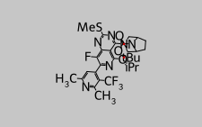 CSc1nc(N2CC3CCC(C2)N3C(=O)OC(C)(C)C)c2c(OC(C)C)nc(-c3cc(C)nc(C)c3C(F)(F)F)c(F)c2n1